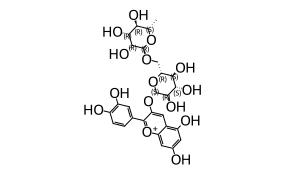 C[C@@H]1O[C@@H](OC[C@H]2O[C@@H](Oc3cc4c(O)cc(O)cc4[o+]c3-c3ccc(O)c(O)c3)[C@H](O)[C@@H](O)[C@@H]2O)[C@H](O)[C@H](O)[C@H]1O